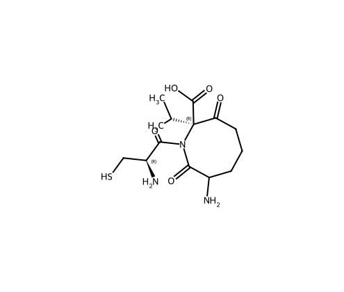 CC(C)[C@]1(C(=O)O)C(=O)CCCC(N)C(=O)N1C(=O)[C@@H](N)CS